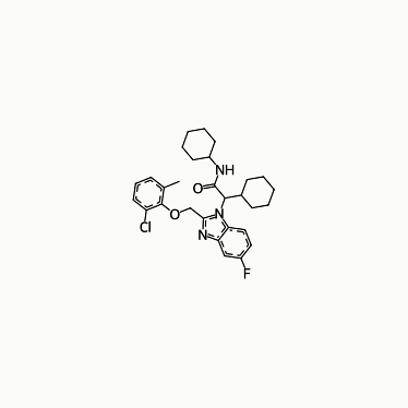 Cc1cccc(Cl)c1OCc1nc2cc(F)ccc2n1C(C(=O)NC1CCCCC1)C1CCCCC1